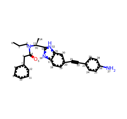 CCCN(C(=O)Cc1ccccc1)[C@@H](C)c1nc2ccc(C#Cc3ccc(N)cc3)cc2[nH]1